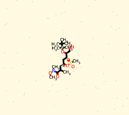 CON(C)C(=O)C(C)C[C@@H](CCC(CO)O[Si](C)(C)C(C)(C)C)OS(C)(=O)=O